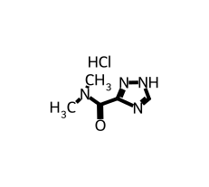 CN(C)C(=O)c1nc[nH]n1.Cl